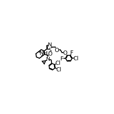 O=C(C1=C(c2cnc(COCCOc3c(F)ccc(Cl)c3F)s2)CC2CCCC1N2)N(Cc1cccc(Cl)c1Cl)C1CC1